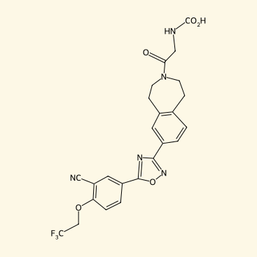 N#Cc1cc(-c2nc(-c3ccc4c(c3)CCN(C(=O)CNC(=O)O)CC4)no2)ccc1OCC(F)(F)F